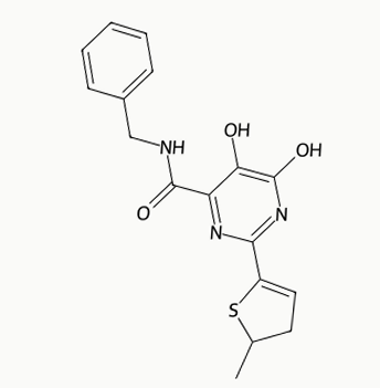 CC1CC=C(c2nc(O)c(O)c(C(=O)NCc3ccccc3)n2)S1